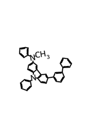 CN(c1ccccc1)c1ccc2c(c1)c1cc(-c3cccc(-c4ccccc4)c3)ccc1n2-c1ccccc1